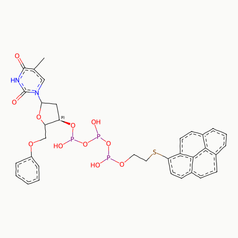 Cc1cn(C2C[C@@H](OP(O)OP(O)OP(O)OCCSc3ccc4ccc5cccc6ccc3c4c56)C(COc3ccccc3)O2)c(=O)[nH]c1=O